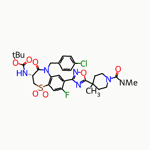 CNC(=O)N1CCC(C)(c2nc(-c3cc4c(cc3F)S(=O)(=O)C[C@H](NC(=O)OC(C)(C)C)C(=O)N4Cc3ccc(Cl)cc3)no2)CC1